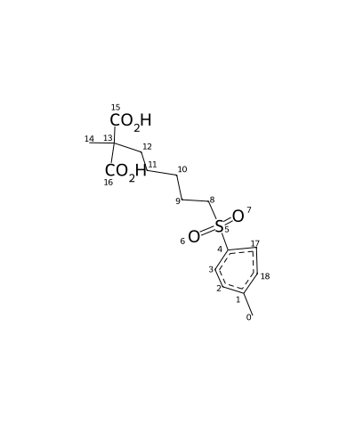 Cc1ccc(S(=O)(=O)CCCCCC(C)(C(=O)O)C(=O)O)cc1